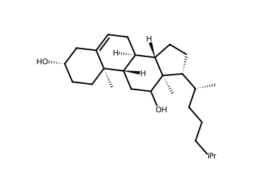 CC(C)CCC[C@@H](C)[C@H]1CC[C@H]2[C@@H]3CC=C4C[C@@H](O)CC[C@]4(C)[C@H]3CC(O)[C@]12C